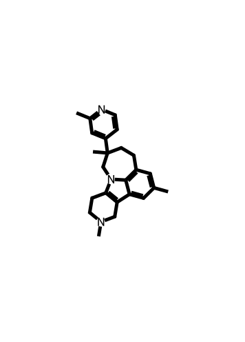 Cc1cc2c3c(c1)c1c(n3CC(C)(c3ccnc(C)c3)CC2)CCN(C)C1